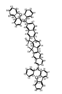 CC1(C)c2cc3cc(N(c4ccccc4)c4cccc5c4oc4ccccc45)ccc3cc2-c2ccc3c(c21)C(C)(C)c1cc2cc(N(c4ccccc4)c4cccc5c4oc4ccccc45)ccc2cc1-3